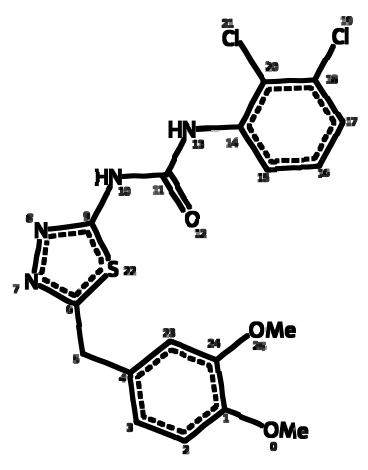 COc1ccc(Cc2nnc(NC(=O)Nc3cccc(Cl)c3Cl)s2)cc1OC